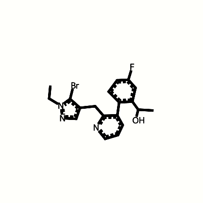 CCn1ncc(Cc2ncccc2-c2ccc(F)cc2C(C)O)c1Br